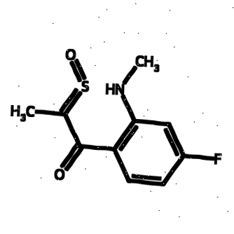 CNc1cc(F)ccc1C(=O)C(C)=S=O